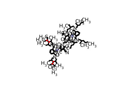 [C-]#[N+]c1c(C)c(/N=N/c2c(C(=O)N(CC(CC)CCCC)CC(CC)CCCC)cccc2C(=O)N(CC(CC)CCCC)CC(CC)CCCC)c(O)n(CCn2c(O)c(/N=N/c3c(C(=O)N(CC(CC)CCCC)CC(CC)CCCC)cccc3C(=O)N(CC(CC)CCCC)CC(CC)CCCC)c(C)c(C#N)c2=O)c1=O